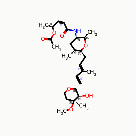 CO[C@@]1(C)CCO[C@H](/C=C/C(C)=C/C[C@@H]2O[C@H](C)[C@H](NC(=O)/C=C\[C@H](C)OC(C)=O)C[C@@H]2C)[C@H]1O